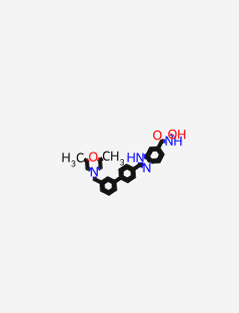 CC1CN(Cc2cccc(-c3ccc(-c4nc5ccc(C(=O)NO)cc5[nH]4)cc3)c2)CC(C)O1